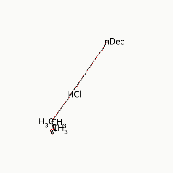 CCCCCCCCCCCCCCCCCCCCCCCCCCCCCCCCCCCCCCCCCCCCCCCCCCCCCCCCCCCCCCCCCCCCCCCCCCCCCCCCCCCCCCCCCCCCCCC(C)(C)C#C/C=C/CN(C)Cc1cccc2ccccc12.Cl